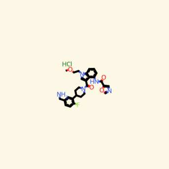 COCCn1cc(C(=O)N2CCC(c3cc(CN)ccc3F)CC2)c2c(NC(=O)c3cnco3)cccc21.Cl